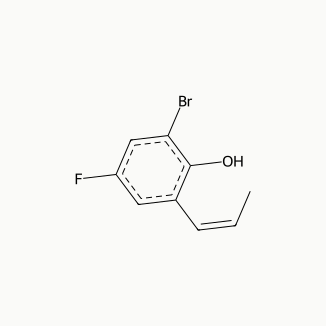 C/C=C\c1cc(F)cc(Br)c1O